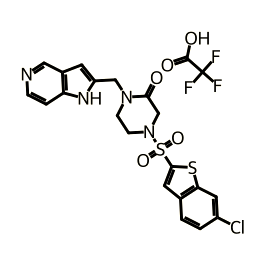 O=C(O)C(F)(F)F.O=C1CN(S(=O)(=O)c2cc3ccc(Cl)cc3s2)CCN1Cc1cc2cnccc2[nH]1